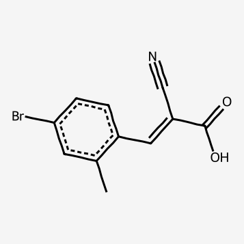 Cc1cc(Br)ccc1/C=C(\C#N)C(=O)O